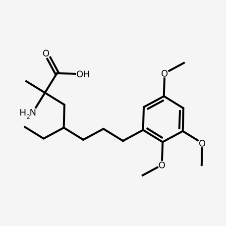 CCC(CCCc1cc(OC)cc(OC)c1OC)CC(C)(N)C(=O)O